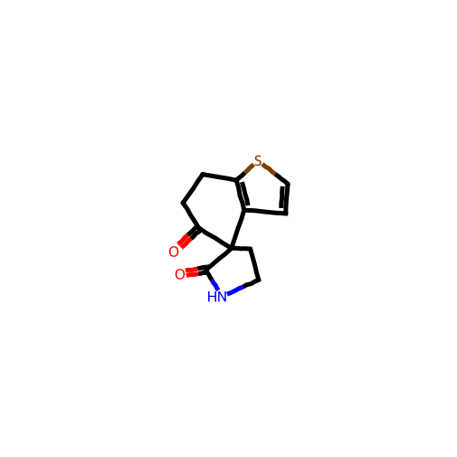 O=C1CCc2sccc2C12CCNC2=O